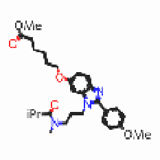 COC(=O)CCCCCOc1ccc2nc(-c3ccc(OC)cc3)n(CCCN(C)C(=O)C(C)C)c2c1